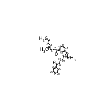 CCCCN(C)CCC(=O)c1cccc(CN(C)CCCCC(=O)c2ccccc2)c1